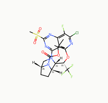 CC(C)(C)OC(=O)N1[C@@H]2CC[C@H]1[C@H]1[C@@H](C(F)(F)F)Oc3nc(Cl)c(F)c4nc(S(C)(=O)=O)nc(c34)N1C2